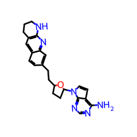 Nc1ncnc2c1ccn2C1CCC(CCc2ccc3cc4c(nc3c2)NCCC4)O1